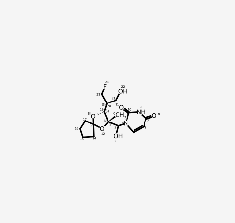 C[C@@]1(C(O)n2ccc(=O)[nH]c2=O)OC2(CCCC2)O[C@@H]1[C@H](CO)CF